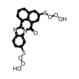 O=c1c2cc(SOOO)cc3cccc(c32)c2nc3ccc(SOOO)cc3n12